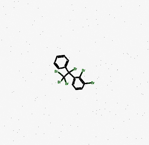 Brc1cccc(C(Br)(c2ccccc2)C(Br)(Br)Br)c1Br